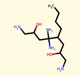 CCCCC(CC(O)CN)C(N)(N)CC(O)CN